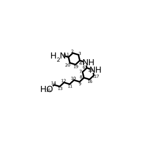 NC1CCC(NC2CC(CCCCCCO)C[CH]N2)CC1